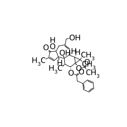 CC(=O)O[C@@]12[C@H](OC(=O)Cc3ccccc3)[C@@H](C)[C@@]3(O)[C@@H](C=C(CO)C[C@]4(O)C(=O)C(C)=C[C@@H]34)[C@H]1C2(C)C